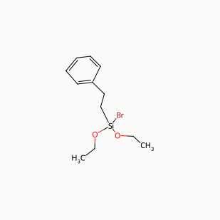 CCO[Si](Br)(CCc1ccccc1)OCC